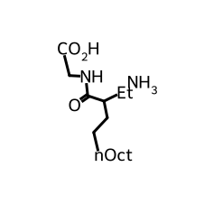 CCCCCCCCCCC(CC)C(=O)NCC(=O)O.N